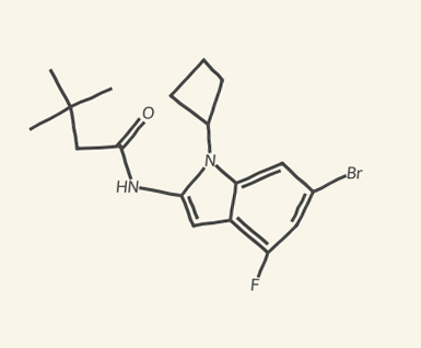 CC(C)(C)CC(=O)Nc1cc2c(F)cc(Br)cc2n1C1CCC1